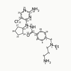 CCN(CCCN)Cc1ccc(C(=O)NN(c2nc(N)ncc2Cl)C2CCCC2)cc1